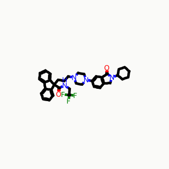 O=C1c2cc(N3CCN(CCCC4(C(=O)NCC(F)(F)F)c5ccccc5-c5ccccc54)CC3)ccc2CN1C1CCCCC1